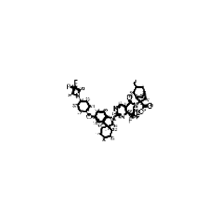 CC1CC2CC(C1)C(NC(=O)c1cnc(N3CC4(CCCCC4)c4cc(O[C@H]5CC[C@@H](N6CC(F)(F)C6)CC5)ccc43)nc1C(F)(F)F)(C(=O)O)C2